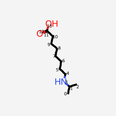 CC(C)NCCCCCCCC(=O)O